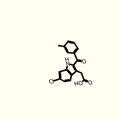 Cc1cccc(C(=O)c2[nH]c3cc(Cl)ccc3c2CC(=O)O)c1